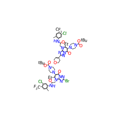 CCc1c(N2CCN(C(=O)OC(C)(C)C)CC2)c(=O)n2nc(Br)nc2n1CC(=O)Nc1cc(Cl)c(C(F)(F)F)cc1C.CCc1c(N2CCN(C(=O)OC(C)(C)C)CC2)c(=O)n2nc(C3=CCOCC3)nc2n1CC(=O)Nc1cc(Cl)c(C(F)(F)F)cc1C